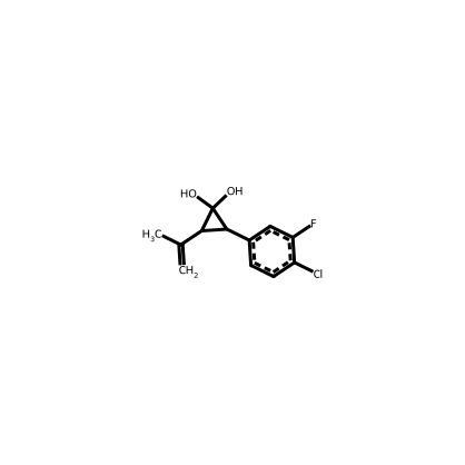 C=C(C)C1C(c2ccc(Cl)c(F)c2)C1(O)O